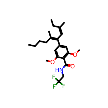 CCCC/C(C)=C(/C=C(/C)CC)c1cc(OC)c(C(=O)NCC(F)(F)F)c(OC)c1